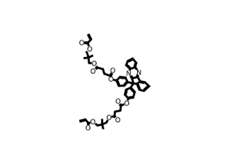 C=CC(=O)OCC(C)(C)COC(=O)CCC(=O)Oc1ccc(C2(c3ccc(OC(=O)CCC(=O)OCC(C)(C)COC(=O)C=C)cc3)c3ccccc3-c3nc4ccccc4nc32)cc1